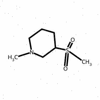 CN1CCCC(S(C)(=O)=O)C1